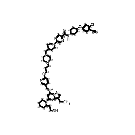 CCc1cnn2c(NCc3ccc(OCCCN4CCN(CC5CCN(c6cnc(C(=O)N[C@H]7CC[C@H](Oc8ccc(C#N)c(Cl)c8)CC7)cn6)CC5)CC4)nc3)cc(N3CCCCC3CCO)nc12